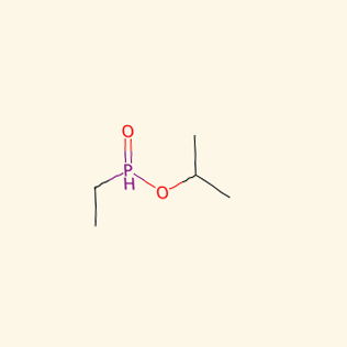 CC[PH](=O)OC(C)C